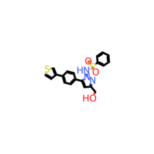 O=S(=O)(Nn1nc(CO)cc1-c1ccc(-c2ccsc2)cc1)c1ccccc1